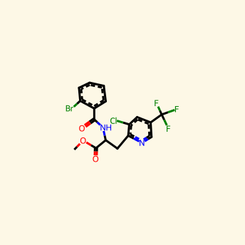 COC(=O)C(Cc1ncc(C(F)(F)F)cc1Cl)NC(=O)c1ccccc1Br